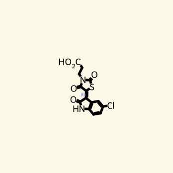 O=C(O)CCN1C(=O)S/C(=C2/C(=O)Nc3ccc(Cl)cc32)C1=O